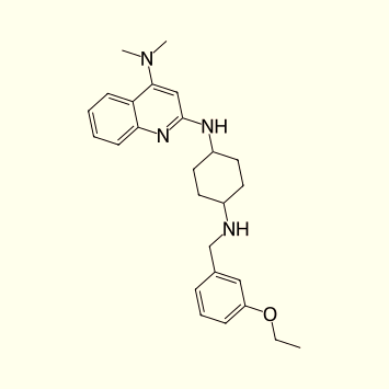 CCOc1cccc(CNC2CCC(Nc3cc(N(C)C)c4ccccc4n3)CC2)c1